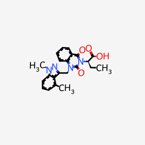 CC[C@H](C(=O)O)n1c(=O)c2ccccc2n(Cc2nn(C)c3cccc(C)c23)c1=O